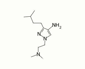 CC(C)CCc1nn(CCN(C)C)cc1N